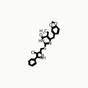 CCc1c(Cc2ccc3c(c2)OCO3)nc(SCc2n[nH]c(-c3ccccc3)c2Cl)[nH]c1=O